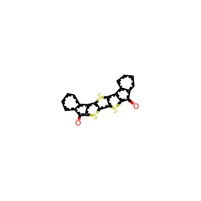 O=c1c2ccccc2c2c1sc1c3sc4c(=O)c5ccccc5c4c3sc12